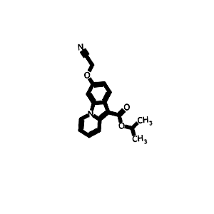 CC(C)OC(=O)c1c2ccc(OCC#N)cc2n2ccccc12